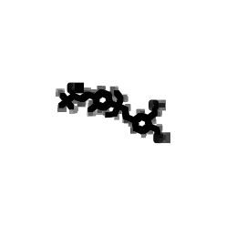 CCC(/C=C/c1ccc(CO)c(CO)c1)(CC)c1ccc(/C=C/C(O)C(C)(C)C)c(C)c1